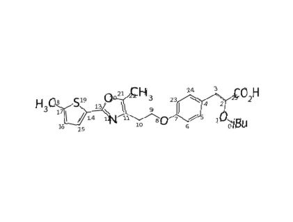 CCC(C)OC(Cc1ccc(OCCc2nc(-c3ccc(C)s3)oc2C)cc1)C(=O)O